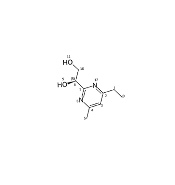 CCc1cc(C)nc([C@@H](O)CO)n1